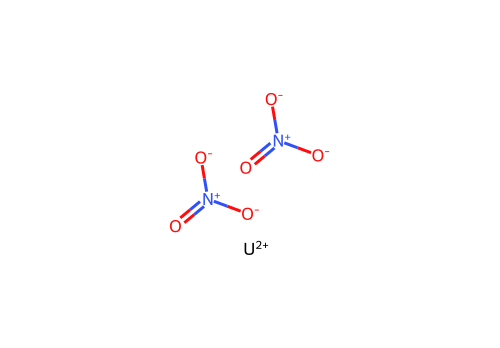 O=[N+]([O-])[O-].O=[N+]([O-])[O-].[U+2]